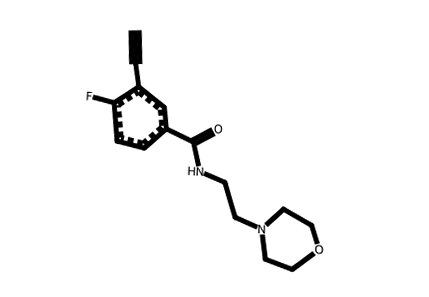 C#Cc1cc(C(=O)NCCN2CCOCC2)ccc1F